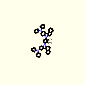 N#Cc1c(-n2c3ccc(N(c4ccccc4)c4ccccc4)cc3c3c4ccccc4ccc32)ccc(-n2c3ccc(N(c4ccccc4)c4ccccc4)cc3c3c4ccccc4ccc32)c1C#N